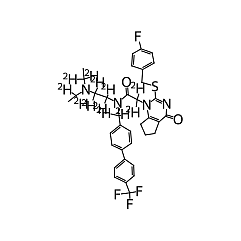 [2H]C([2H])(C)N(C([2H])([2H])C)C([2H])([2H])C([2H])([2H])N(C(=O)C([2H])([2H])n1c(SCc2ccc(F)cc2)nc(=O)c2c1CCC2)C([2H])([2H])c1ccc(-c2ccc(C(F)(F)F)cc2)cc1